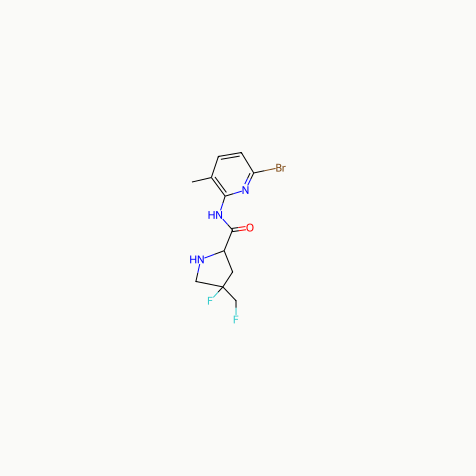 Cc1ccc(Br)nc1NC(=O)C1CC(F)(CF)CN1